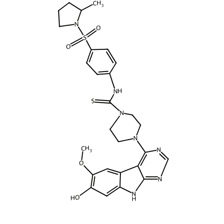 COc1cc2c(cc1O)[nH]c1ncnc(N3CCN(C(=S)Nc4ccc(S(=O)(=O)N5CCCC5C)cc4)CC3)c12